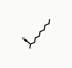 [CH2]C(C#N)CCCCCCCC